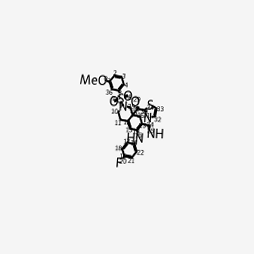 COc1cccc(S(=O)(=O)N2CCC3=CC(Nc4ccc(F)cc4)=C(C=N)CC3(C(=O)c3nccs3)C2)c1